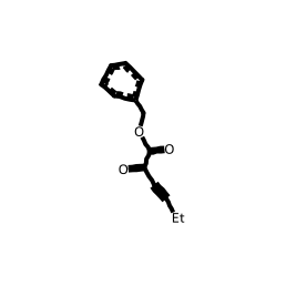 CCC#CC(=O)C(=O)OCc1ccccc1